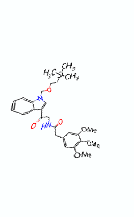 COc1cc(CC(=O)NCC(=O)c2cn(COCC[Si](C)(C)C)c3ccccc23)cc(OC)c1OC